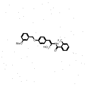 COc1cccc(COc2ccc(/C=C(/NC(=O)c3ccccc3C(F)(F)F)C(=O)O)cc2)c1